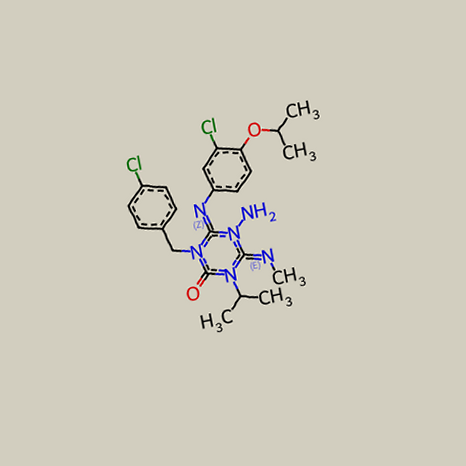 C/N=c1\n(C(C)C)c(=O)n(Cc2ccc(Cl)cc2)/c(=N/c2ccc(OC(C)C)c(Cl)c2)n1N